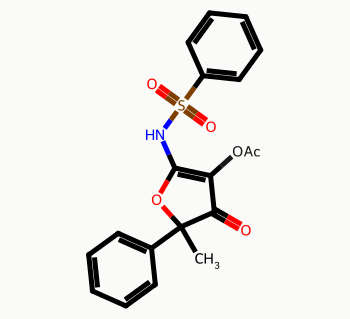 CC(=O)OC1=C(NS(=O)(=O)c2ccccc2)OC(C)(c2ccccc2)C1=O